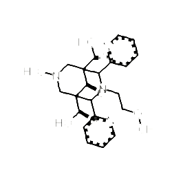 COCCN1C(c2ccccn2)C2(C(=O)O)CN(C)CC(C(=O)O)(C2=O)C1c1ccccn1